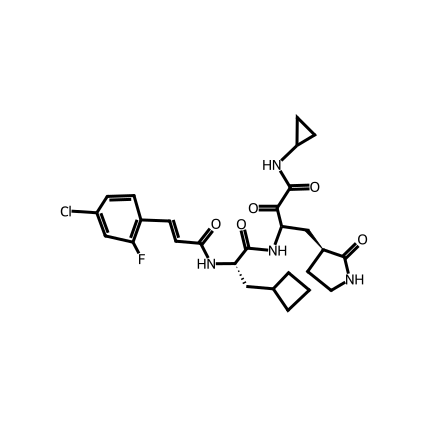 O=C(/C=C/c1ccc(Cl)cc1F)N[C@@H](CC1CCC1)C(=O)NC(C[C@@H]1CCNC1=O)C(=O)C(=O)NC1CC1